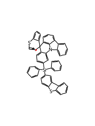 c1ccc([Si](c2ccccc2)(c2ccc3c(c2)-n2c4ccccc4c4cccc(c42)C32c3ccccc3Sc3ccccc32)c2ccc3sc4ccccc4c3c2)cc1